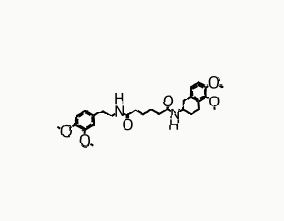 COc1ccc(CCNC(=O)CCCCC(=O)NC2CCc3c(ccc(OC)c3OC)C2)cc1OC